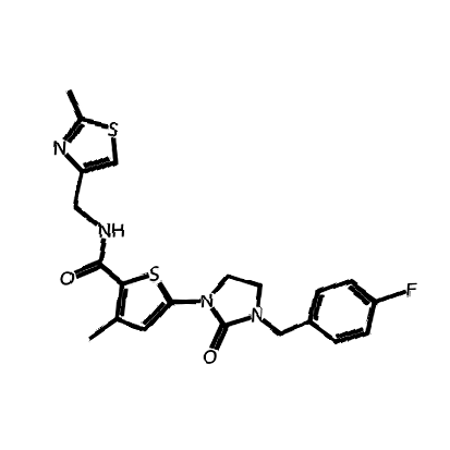 Cc1nc(CNC(=O)c2sc(N3CCN(Cc4ccc(F)cc4)C3=O)cc2C)cs1